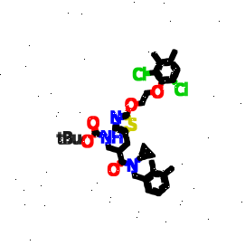 Cc1cccc(CN(C(=O)C(CNC(=O)OC(C)(C)C)Cc2cnc(OCCOc3c(Cl)cc(C)c(C)c3Cl)s2)C2CC2)c1C